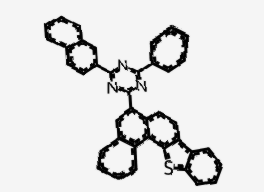 c1ccc(-c2nc(-c3ccc4ccccc4c3)nc(-c3cc4ccccc4c4c3ccc3c5ccccc5sc34)n2)cc1